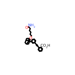 NC(=O)CCCCCOc1ccc(C#Cc2ccccc2C(=O)O)cc1C12CC3CC(CC(C3)C1)C2